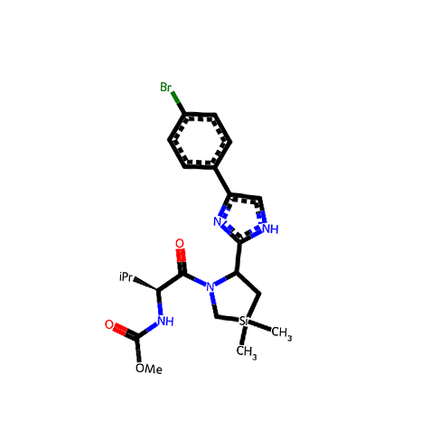 COC(=O)N[C@H](C(=O)N1C[Si](C)(C)CC1c1nc(-c2ccc(Br)cc2)c[nH]1)C(C)C